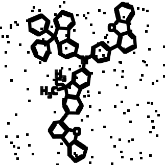 CC1(C)c2cc(-c3cccc4c3oc3ccccc34)ccc2-c2ccc(N(c3ccc(-c4cccc5c4oc4ccccc45)cc3)c3ccc4c(c3)-c3ccccc3C4(c3ccccc3)c3ccccc3)cc21